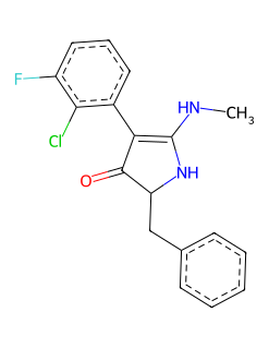 CNC1=C(c2cccc(F)c2Cl)C(=O)C(Cc2ccccc2)N1